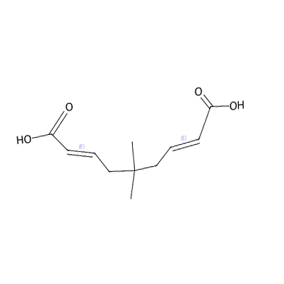 CC(C)(C/C=C/C(=O)O)C/C=C/C(=O)O